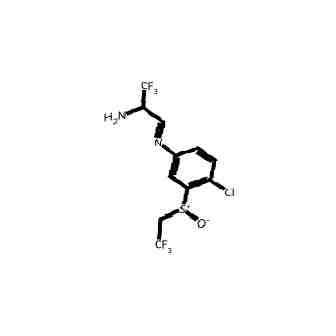 NC(/C=N/c1ccc(Cl)c([S+]([O-])CC(F)(F)F)c1)C(F)(F)F